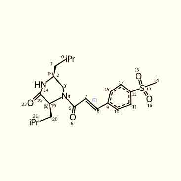 CC(C)C[C@H]1CN(C(=O)/C=C/c2ccc(S(C)(=O)=O)cc2)[C@@H](CC(C)C)C(=O)N1